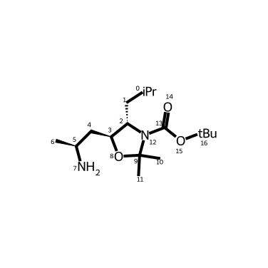 CC(C)C[C@H]1[C@H](C[C@H](C)N)OC(C)(C)N1C(=O)OC(C)(C)C